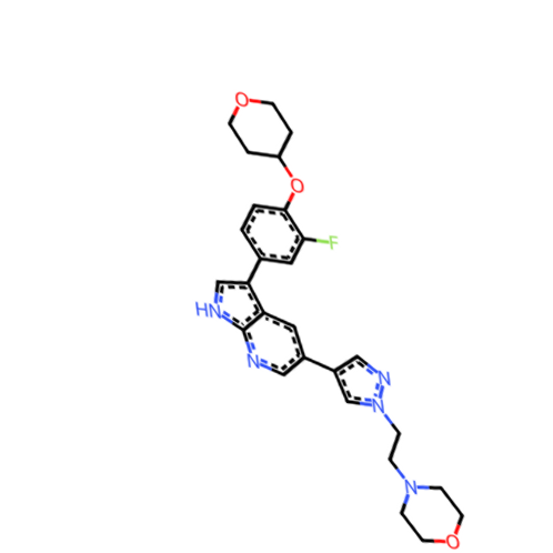 Fc1cc(-c2c[nH]c3ncc(-c4cnn(CCN5CCOCC5)c4)cc23)ccc1OC1CCOCC1